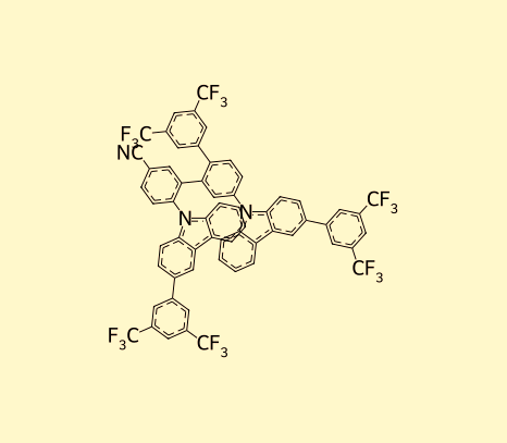 N#Cc1ccc(-n2c3ccccc3c3cc(-c4cc(C(F)(F)F)cc(C(F)(F)F)c4)ccc32)c(-c2cc(-n3c4ccccc4c4cc(-c5cc(C(F)(F)F)cc(C(F)(F)F)c5)ccc43)ccc2-c2cc(C(F)(F)F)cc(C(F)(F)F)c2)c1